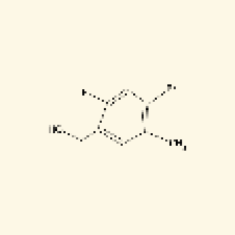 Cc1cc(CO)c(F)cc1Br